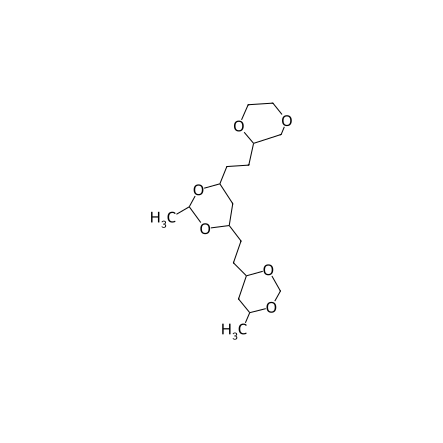 CC1CC(CCC2CC(CCC3COCCO3)OC(C)O2)OCO1